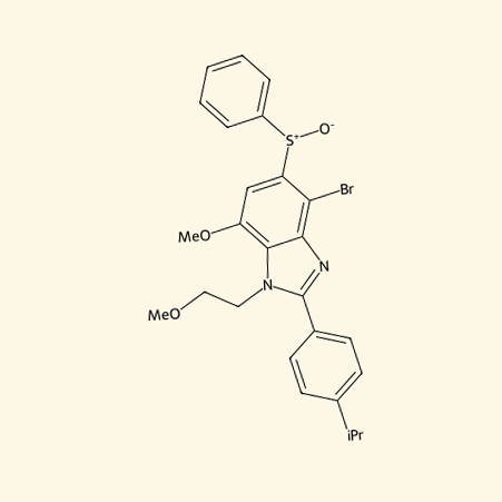 COCCn1c(-c2ccc(C(C)C)cc2)nc2c(Br)c([S+]([O-])c3ccccc3)cc(OC)c21